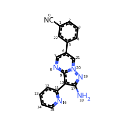 N#Cc1cccc(-c2cnc3c(-c4ccccn4)c(N)nn3c2)c1